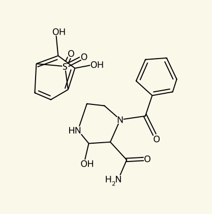 NC(=O)C1C(O)NCCN1C(=O)c1ccccc1.O=S1(=O)C2=C(O)C(O)=C1C=C2